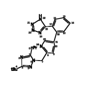 CCCc1nc(C(C)(C)C)nn1Cc1ccc(-c2ccccc2-c2nnn[nH]2)cn1